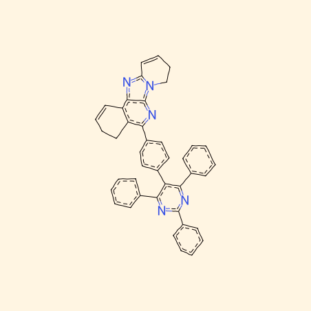 C1=Cc2c(c(-c3ccc(-c4c(-c5ccccc5)nc(-c5ccccc5)nc4-c4ccccc4)cc3)nc3c2nc2n3CCC=C2)CC1